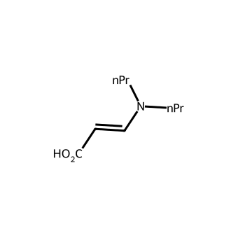 CCCN(/C=C/C(=O)O)CCC